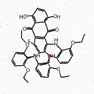 CCOc1cccc(OCC)c1Nc1c(F)c2c(c(Nc3c(OCC)cccc3OCC)c1Nc1c(OCC)cccc1OCC)C(=O)c1c(O)ccc(O)c1C2=O